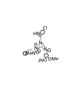 CNC(=O)[C@H](CCCc1ccccc1)NC(=O)C1CN(CCc2c[nH]c3cc(Cl)ccc23)CC2CN(C(=O)c3ccc(OC(C)C)c(OC)c3)CC21